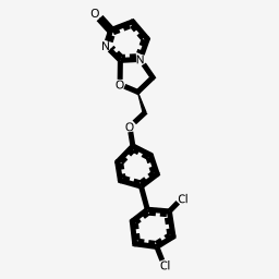 O=c1ccn2c(n1)O[C@H](COc1ccc(-c3ccc(Cl)cc3Cl)cc1)C2